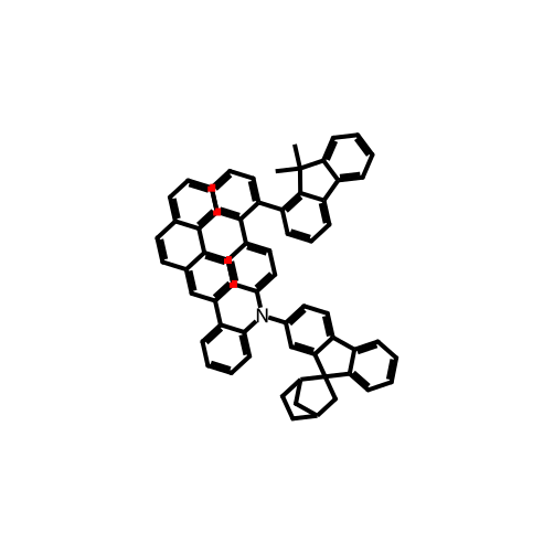 CC1(C)c2ccccc2-c2cccc(-c3ccccc3-c3ccc(N(c4ccc5c(c4)C4(CC6CCC4C6)c4ccccc4-5)c4ccccc4-c4ccc5c(ccc6ccccc65)c4)cc3)c21